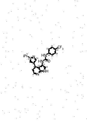 CC(C)n1cc(-c2ccnc3[nH]cc(NC(=O)Nc4ccc(C(F)(F)F)cc4)c23)cn1